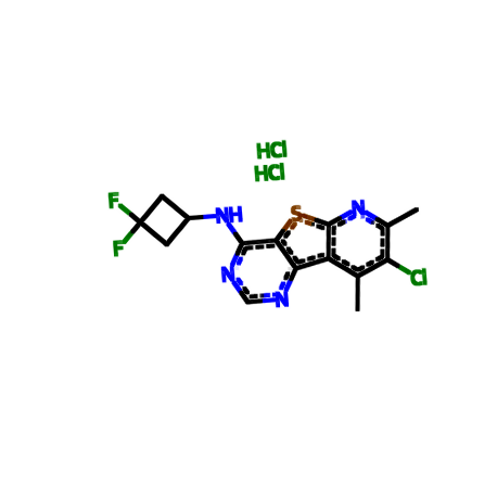 Cc1nc2sc3c(NC4CC(F)(F)C4)ncnc3c2c(C)c1Cl.Cl.Cl